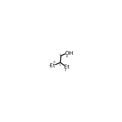 C[CH]C(CC)CO